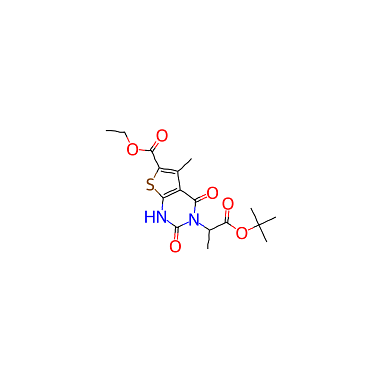 CCOC(=O)c1sc2[nH]c(=O)n(C(C)C(=O)OC(C)(C)C)c(=O)c2c1C